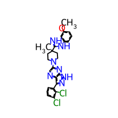 COc1cccc(NC(=N)C2(C)CCN(c3cnc4c(-c5cccc(Cl)c5Cl)n[nH]c4n3)CC2)c1